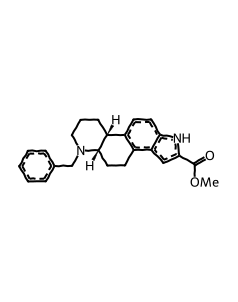 COC(=O)c1cc2c3c(ccc2[nH]1)[C@H]1CCCN(Cc2ccccc2)[C@H]1CC3